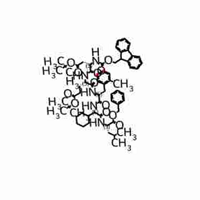 Cc1ccccc1C[C@H](NC(=O)[C@H](CCC(=O)OC(C)(C)C)NC(=O)[C@H](CC(=O)OC(C)(C)C)NC(=O)OCC1c2ccccc2-c2ccccc21)C(=O)N[C@H](C(=O)N[C@@H](CC(C)C)C(=O)OCc1ccccc1)C1CCCCC1